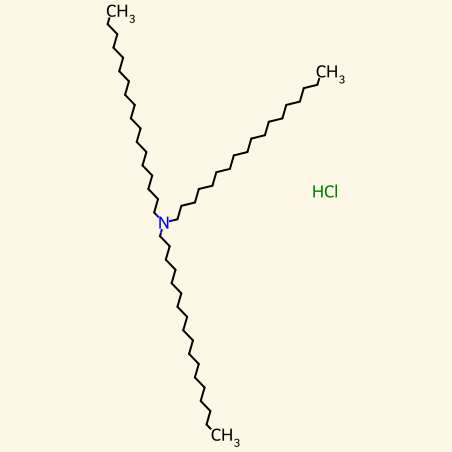 CCCCCCCCCCCCCCCCCCN(CCCCCCCCCCCCCCCCCC)CCCCCCCCCCCCCCCCCC.Cl